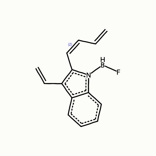 C=C/C=C\c1c(C=C)c2ccccc2n1BF